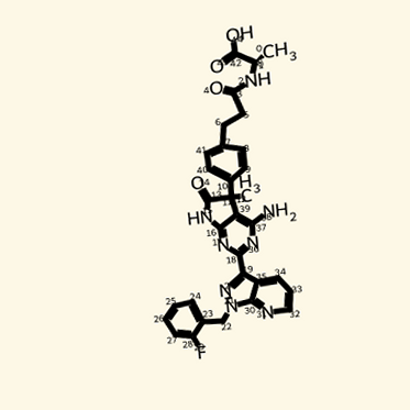 C[C@@H](NC(=O)CCc1ccc(C2(C)C(=O)Nc3nc(-c4nn(Cc5ccccc5F)c5ncccc45)nc(N)c32)cc1)C(=O)O